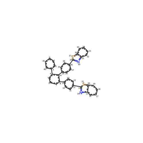 c1ccc(-c2cccc(-c3ccc(-c4nc5ccccc5s4)cc3)c2-c2ccc(-c3nc4ccccc4s3)cc2)cc1